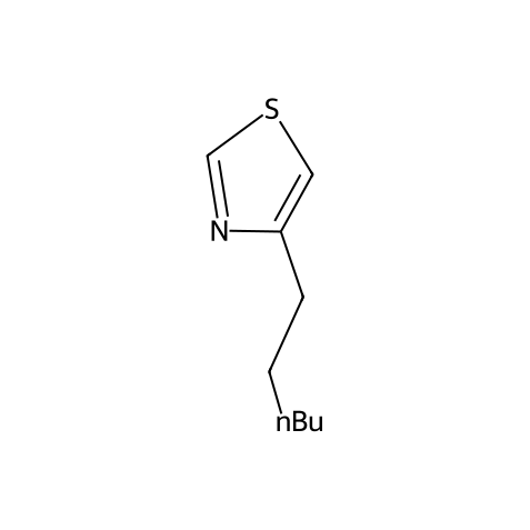 CCCCCCc1cscn1